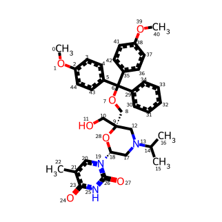 COc1ccc(C(OC[C@]2(CO)CN(C(C)C)C[C@H](n3cc(C)c(=O)[nH]c3=O)O2)(c2ccccc2)c2ccc(OC)cc2)cc1